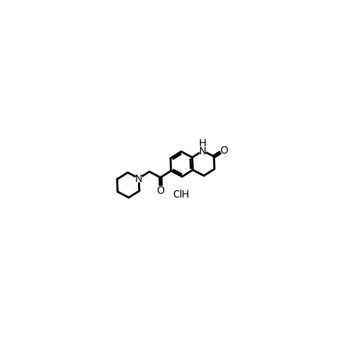 Cl.O=C1CCc2cc(C(=O)CN3CCCCC3)ccc2N1